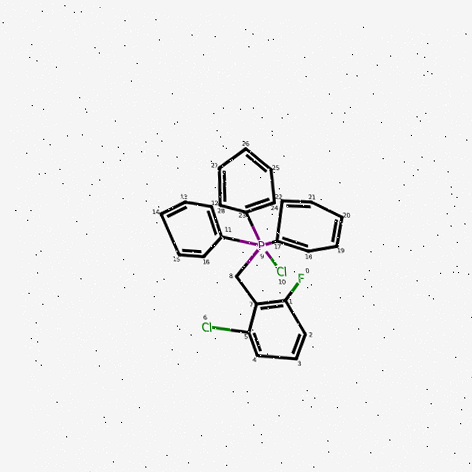 Fc1cccc(Cl)c1CP(Cl)(c1ccccc1)(c1ccccc1)c1ccccc1